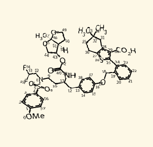 COc1ccc(S(=O)(=O)N(CC[C@H](Cc2ccc(OCc3ccccc3-c3sc4c(c3C(=O)O)CC(C)(C)CC4)cc2)NC(=O)O[C@H]2CO[C@@]3(C)OCC[C@@H]23)CC(F)F)cc1